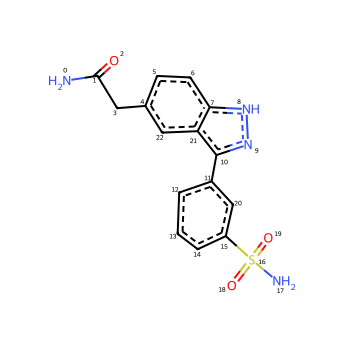 NC(=O)Cc1ccc2[nH]nc(-c3cccc(S(N)(=O)=O)c3)c2c1